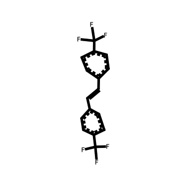 FC(F)(F)c1ccc(/C=C/c2ccc(C(F)(F)F)cc2)cc1